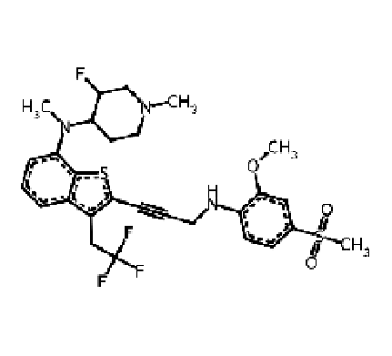 COc1cc(S(C)(=O)=O)ccc1NCC#Cc1sc2c(N(C)C3CCN(C)CC3F)cccc2c1CC(F)(F)F